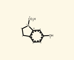 O=C(O)N1CCc2ccc(O)cc21